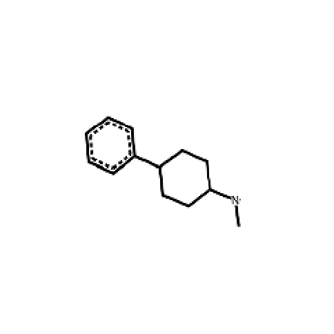 C[N]C1CCC(c2ccccc2)CC1